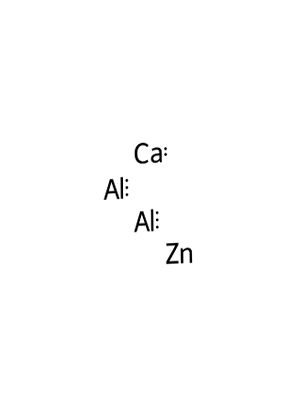 [Al].[Al].[Ca].[Zn]